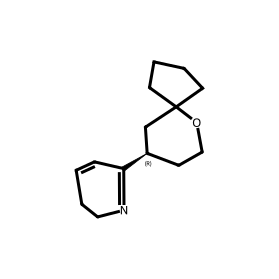 C1=CC([C@@H]2CCOC3(CCCC3)C2)=NCC1